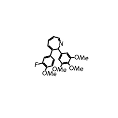 COc1ccc(C2=CC=CC=NC2c2cc(OC)c(OC)c(OC)c2)cc1F